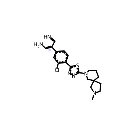 CN1CCC2(CCCN(c3nnc(-c4ccc(/C(C=N)=C/N)cc4Cl)s3)C2)C1